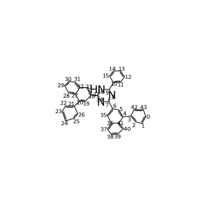 c1ccc(-c2cc(C3=NC(c4ccccc4)NC(c4cc(-c5ccccc5)c5ccccc5c4)=N3)cc3ccccc23)cc1